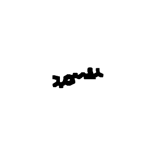 CCC(C)Sc1ccc(OCCOC(=O)NC(C)C)cc1